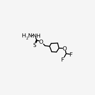 NNC(=S)OCC1CCC(OC(F)F)CC1